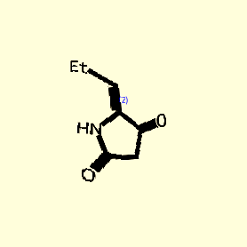 CC/C=C1\NC(=O)CC1=O